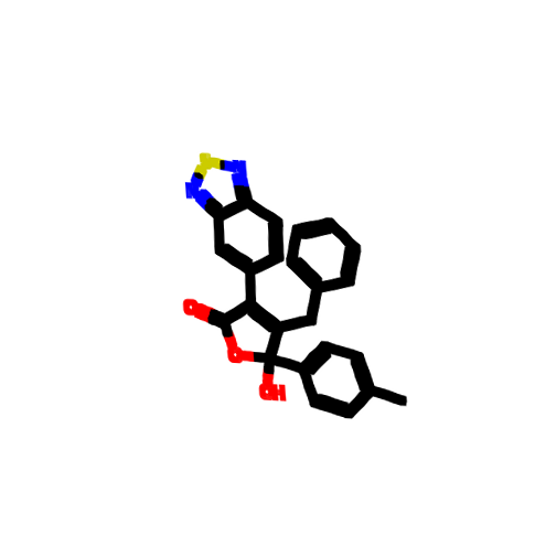 Cc1ccc(C2(O)OC(=O)C(c3ccc4nsnc4c3)=C2Cc2ccccc2)cc1